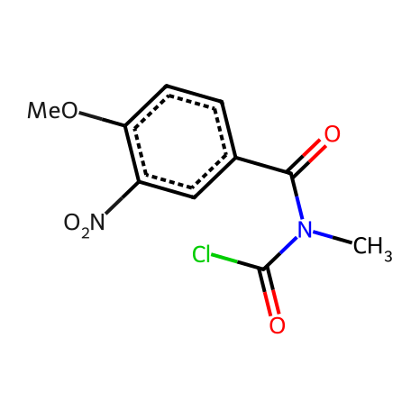 COc1ccc(C(=O)N(C)C(=O)Cl)cc1[N+](=O)[O-]